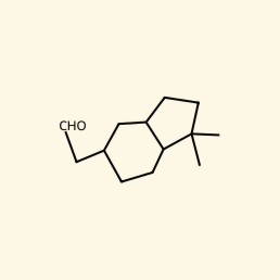 CC1(C)CCC2CC(CC=O)CCC21